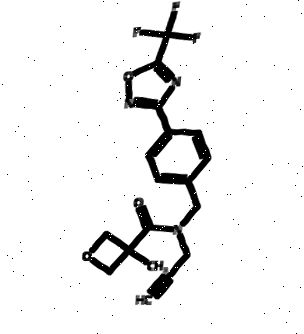 C#CCN(Cc1ccc(-c2noc(C(F)(F)F)n2)cc1)C(=O)C1(C)COC1